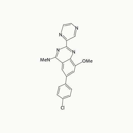 CNc1nc(-c2cnccn2)nc2c(OC)cc(-c3ccc(Cl)cc3)cc12